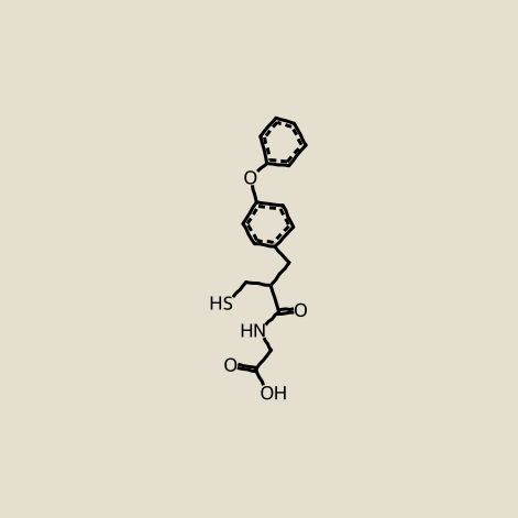 O=C(O)CNC(=O)C(CS)Cc1ccc(Oc2ccccc2)cc1